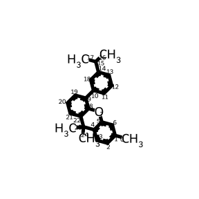 Cc1ccc2c(c1)Oc1c(-c3cccc(C(C)C)c3)cccc1C2(C)C